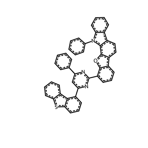 c1ccc(-c2cc(-c3cccc4sc5ccccc5c34)nc(-c3cccc4c3oc3c4ccc4c5ccccc5n(-c5ccccc5)c43)n2)cc1